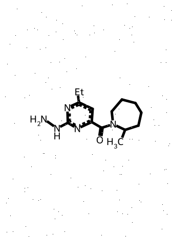 CCc1cc(C(=O)N2CCCCCC2C)nc(NN)n1